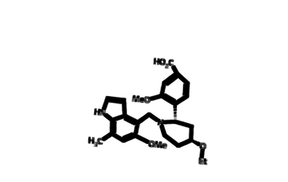 CCO[C@H]1CCN(Cc2c(OC)cc(C)c3[nH]ccc23)[C@H](c2ccc(C(=O)O)cc2OC)C1